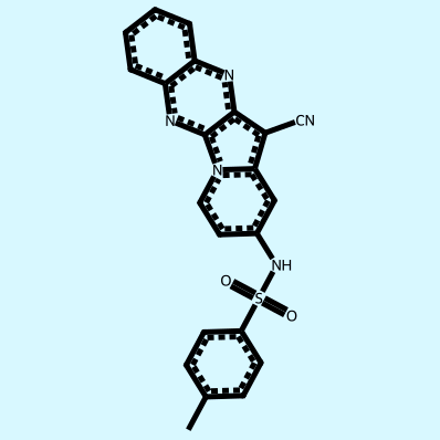 Cc1ccc(S(=O)(=O)Nc2ccn3c(c2)c(C#N)c2nc4ccccc4nc23)cc1